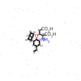 C=Cc1ccc(OC(CC(=O)O)C(N)C(=O)O)cc1.c1cc2ccc1-2